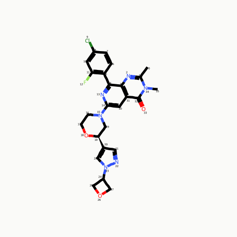 Cc1nc2c(-c3ccc(Cl)cc3F)nc(N3CCO[C@H](c4cnn(C5COC5)c4)C3)cc2c(=O)n1C